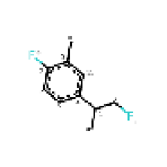 C[C](CF)c1ccc(F)c(C)c1